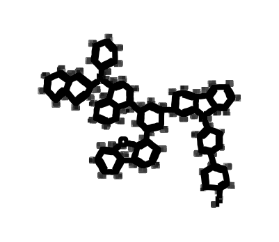 Fc1ccc(-c2ccc(-n3c4ccccc4c4ccc(-c5cc(-c6ccc(N(c7ccccc7)c7ccc8ccccc8c7)c7ccccc67)cc(-c6cccc7c6oc6ccccc67)c5)cc43)cc2)cc1